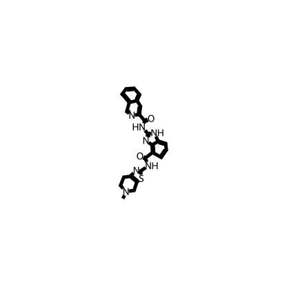 CN1CCc2nc(NC(=O)c3cccc4[nH]c(NC(=O)c5cc6ccccc6cn5)nc34)sc2C1